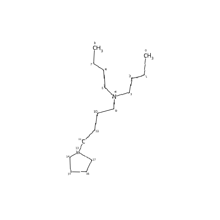 CCCCN(CCCC)CCC[CH2][In]1[CH2]CC[CH2]1